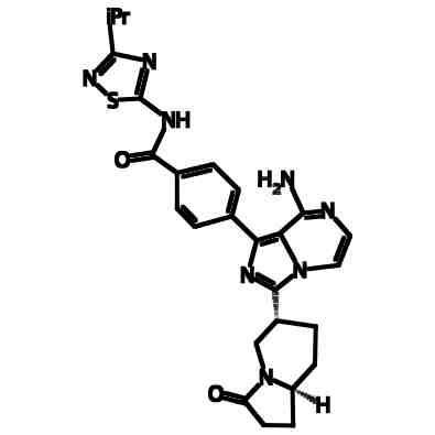 CC(C)c1nsc(NC(=O)c2ccc(-c3nc([C@@H]4CC[C@H]5CCC(=O)N5C4)n4ccnc(N)c34)cc2)n1